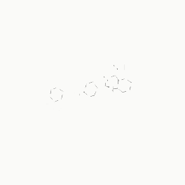 Nc1nc(-c2ccc(OCc3cccc(C(F)(F)F)c3)cc2)nc2ccc(I)cc12